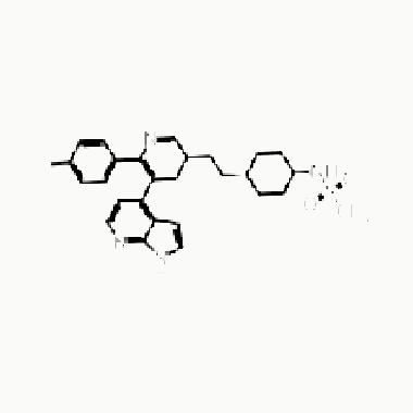 CS(=O)(=O)N[C@H]1CC[C@@H](CCC2C=NC(c3ccc(F)cc3)=C(c3ccnc4[nH]ccc34)C2)CC1